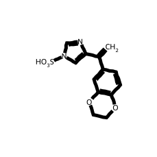 C=C(c1ccc2c(c1)OCCO2)c1cn(S(=O)(=O)O)cn1